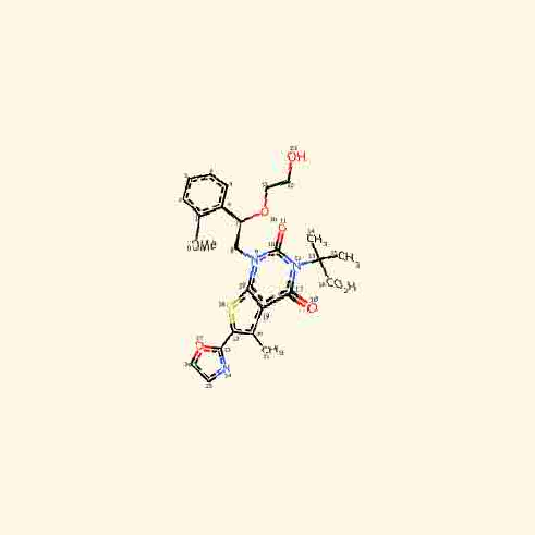 COc1ccccc1[C@H](Cn1c(=O)n(C(C)(C)C(=O)O)c(=O)c2c(C)c(-c3ncco3)sc21)OCCO